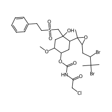 COC1CC(O)(CS(=O)(=O)CCc2ccccc2)C(C2(C)OC2CC(Br)C(C)(C)Br)CC1OC(=O)NC(=O)CCl